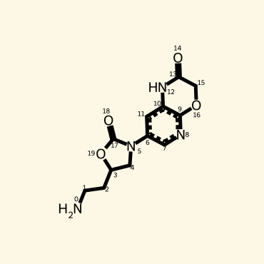 NCCC1CN(c2cnc3c(c2)NC(=O)CO3)C(=O)O1